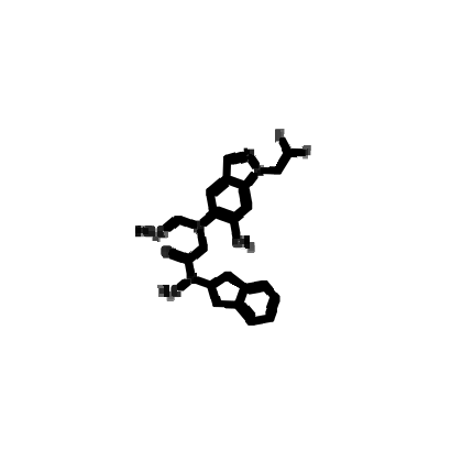 Cc1cc2c(cnn2CC(F)F)cc1N(CC(=O)O)CC(=O)N(C)C1Cc2ccccc2C1